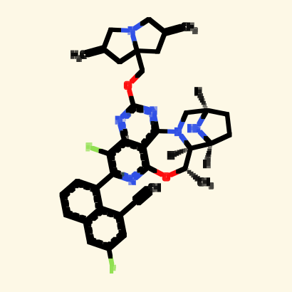 C#Cc1cc(F)cc2cccc(-c3nc4c5c(nc(OCC67CC(=C)CN6CC(=C)C7)nc5c3F)N3C[C@H]5CC[C@H](N5)[C@H]3[C@H](C)O4)c12